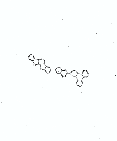 c1ccc2c(c1)oc1c2ccc2c3cc(-c4ccc5cc(-c6ccc7c8ccccc8c8ccccc8c7c6)ccc5c4)ccc3oc21